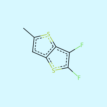 Cc1cc2sc(F)c(F)c2s1